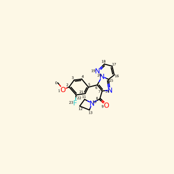 COc1ccc(-c2c(C(=O)N3CCC3)nc3cccnn23)cc1F